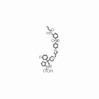 C/C=C/C(=O)Nc1cccc(S(=O)(=O)c2ccc(N3CC(CN4CCC(C(C#N)(c5cccc(F)c5)[C@H]5CCC[C@@H]5NC(=O)O)CC4)C3)cc2)c1